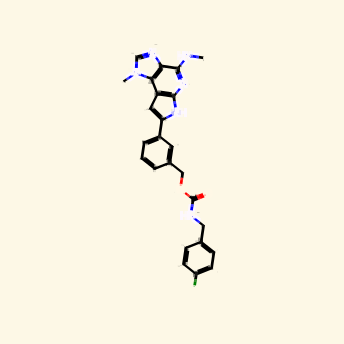 CNc1nc2[nH]c(-c3cccc(COC(=O)NCc4ccc(F)cc4)c3)cc2c2c1ncn2C